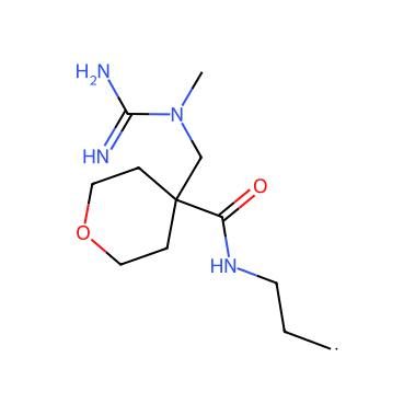 [CH2]CCNC(=O)C1(CN(C)C(=N)N)CCOCC1